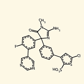 CN1C(=O)C(c2cccc(-c3cc(Cl)sc3S(=O)(=O)O)c2)(c2ccc(F)c(-c3cncnc3)c2)N=C1N